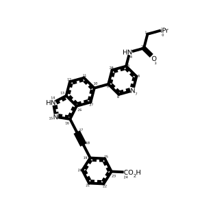 CC(C)CC(=O)Nc1cncc(-c2ccc3[nH]nc(C#Cc4cccc(C(=O)O)c4)c3c2)c1